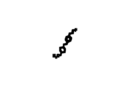 CC[C@H]1CC[C@H](CCc2ccc(CC=CF)cc2)CC1